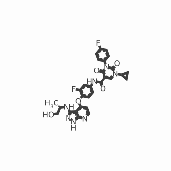 C[C@H](CO)Nc1n[nH]c2nccc(Oc3ccc(NC(=O)c4cn(C5CC5)c(=O)n(-c5ccc(F)cc5)c4=O)cc3F)c12